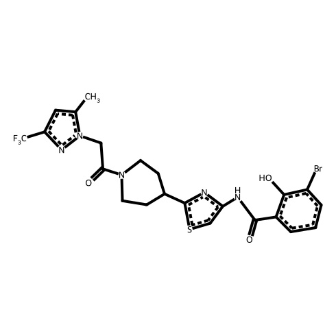 Cc1cc(C(F)(F)F)nn1CC(=O)N1CCC(c2nc(NC(=O)c3cccc(Br)c3O)cs2)CC1